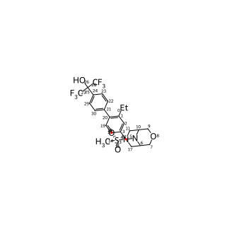 CCc1cc(CN2C3COCC2CN(S(C)(=O)=O)C3)ccc1-c1ccc(C(O)(C(F)(F)F)C(F)(F)F)cc1